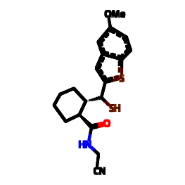 COc1ccc2sc(C(S)[C@H]3CCCC[C@@H]3C(=O)NCC#N)cc2c1